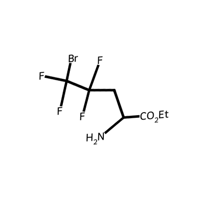 CCOC(=O)C(N)CC(F)(F)C(F)(F)Br